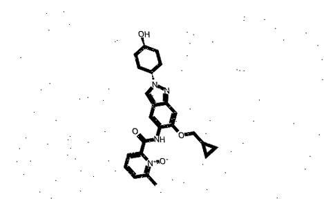 Cc1cccc(C(=O)Nc2cc3cn([C@H]4CC[C@H](O)CC4)nc3cc2OCC2CC2)[n+]1[O-]